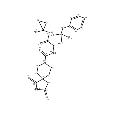 N#CC1(NC(=O)[C@H](CC(F)(F)Cc2ccccc2)NC(=O)N2CCC3(CC2)CC(=O)NC3=O)CC1